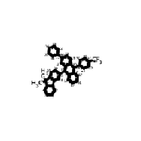 CC1(C)c2ccccc2-c2cc(-c3c4ccccc4c(-c4ccc(C(F)(F)F)cc4)c4ccc(-c5ccccc5)cc34)ccc21